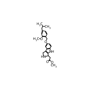 COC(=O)CC1NCCc2c1[nH]c1ccc(OCc3ccc(CC(C)C)cc3OC)cc21